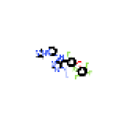 Nc1ncnc2c1c(-c1ccc(Oc3c(F)c(F)cc(F)c3F)cc1F)nn2C1CCCN(n2c[c]nc2)C1